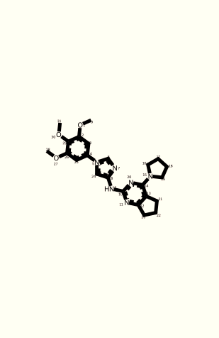 COc1cc(-n2cnc(Nc3nc4c(c(N5CCCC5)n3)CCC4)c2)cc(OC)c1OC